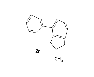 CC1[CH]c2cccc(-c3ccccc3)c2C1.[Zr]